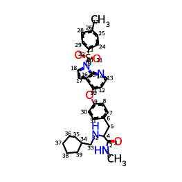 CNC(=O)C(Cc1ccc(Oc2ccnc3c2ccn3S(=O)(=O)c2ccc(C)cc2)cc1)NCC1CCCCC1